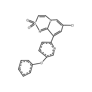 O=S1(=O)C=CN2C=C(Cl)C=C(c3ccc(Oc4ccccc4)cn3)C2=N1